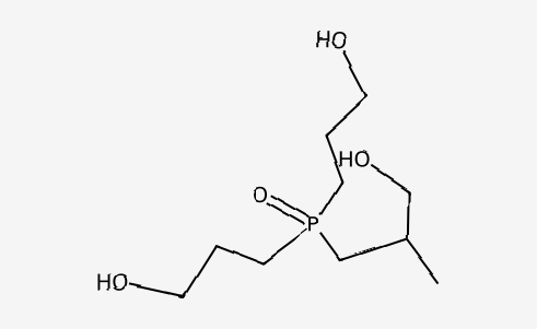 CC(CO)CP(=O)(CCCO)CCCO